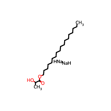 CCCCCCCCCCCCCCCCCCOC(=O)C(C)O.[NaH].[NaH]